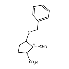 O=C[C@H]1C(OCc2ccccc2)CCN1C(=O)O